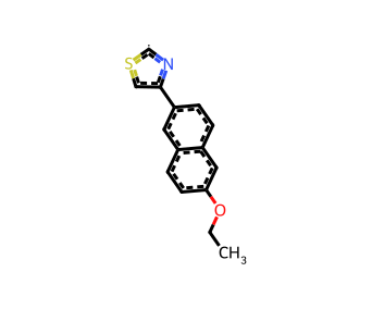 CCOc1ccc2cc(-c3cs[c]n3)ccc2c1